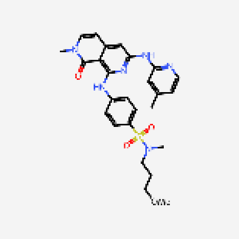 COCCCN(C)S(=O)(=O)c1ccc(Nc2nc(Nc3cc(C)ccn3)cc3ccn(C)c(=O)c23)cc1